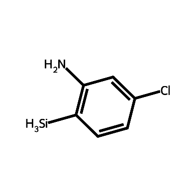 Nc1cc(Cl)ccc1[SiH3]